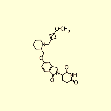 COC12CC(CN3CCCC[C@@H]3COc3ccc4c(c3)CN(C3CCC(=O)NC3=O)C4=O)(C1)C2